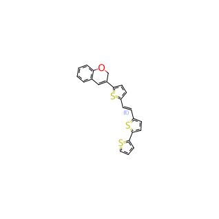 C1=C(c2ccc(/C=C/c3ccc(-c4cccs4)s3)s2)COc2ccccc21